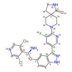 N[C@@H](Oc1ccc2[nH]nc(-c3cnc(N4CCC5(CCNC5=O)CC4)c(F)c3)c2c1)c1c(Cl)cncc1Cl